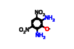 Nc1c([N+](=O)[O-])cc([N+](=O)[O-])c(N)c1[O]